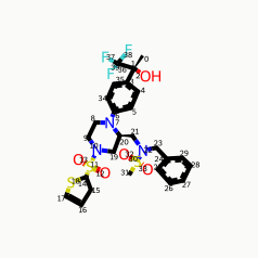 C[C@@](O)(c1ccc(N2CCN(S(=O)(=O)C3CC=CS3)C[C@@H]2CN(Cc2ccccc2)S(C)(=O)=O)cc1)C(F)(F)F